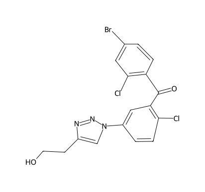 O=C(c1ccc(Br)cc1Cl)c1cc(-n2cc(CCO)nn2)ccc1Cl